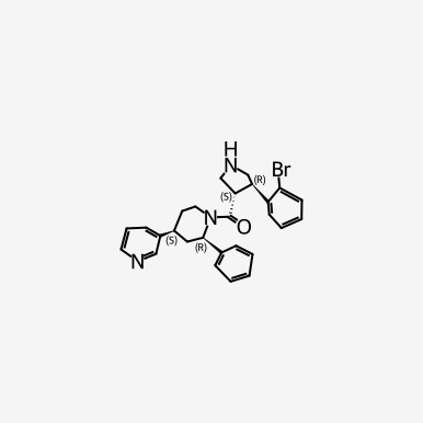 O=C([C@@H]1CNC[C@H]1c1ccccc1Br)N1CC[C@H](c2cccnc2)C[C@@H]1c1ccccc1